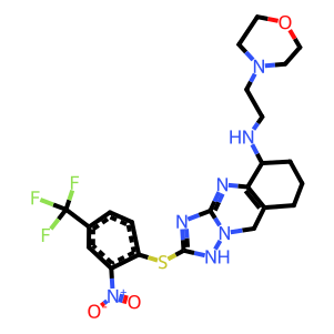 O=[N+]([O-])c1cc(C(F)(F)F)ccc1SC1=NC2=NC3=C(CCCC3NCCN3CCOCC3)CN2N1